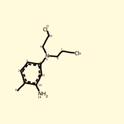 Cc1ccc(N(CCCl)CCCl)cc1N